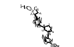 CC(C)c1nc(-c2cccc(-c3noc(CCC(=O)O)n3)c2)no1